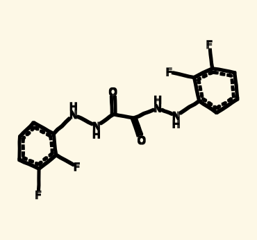 O=C(NNc1cccc(F)c1F)C(=O)NNc1cccc(F)c1F